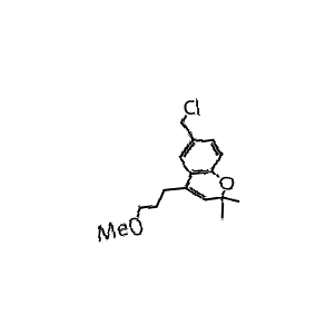 COCCCC1=CC(C)(C)Oc2ccc(CCl)cc21